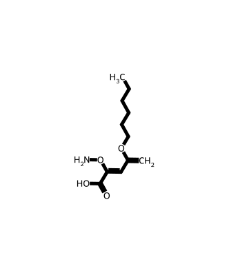 C=C(/C=C(\ON)C(=O)O)OCCCCCC